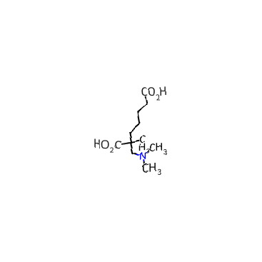 CN(C)CC(C)(CCCCC(=O)O)C(=O)O